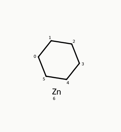 C1CCCCC1.[Zn]